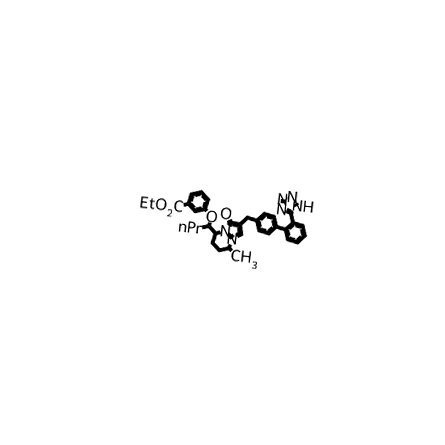 CCCC(Oc1cccc(C(=O)OCC)c1)C1CCC(C)n2cc(Cc3ccc(-c4ccccc4-c4nnn[nH]4)cc3)c(=O)n21